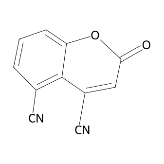 N#Cc1cccc2oc(=O)cc(C#N)c12